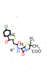 CC1(C)S[C@@H]2[C@H](NC(=O)CC(SC#N)C(=O)c3ccc(Cl)cc3)C(=O)N2[C@H]1C(=O)[O-].[K+]